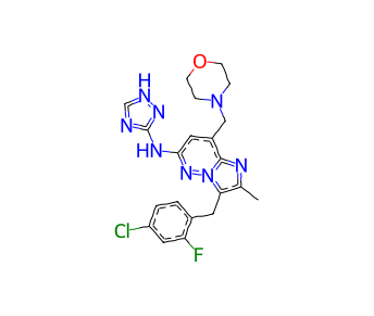 Cc1nc2c(CN3CCOCC3)cc(Nc3nc[nH]n3)nn2c1Cc1ccc(Cl)cc1F